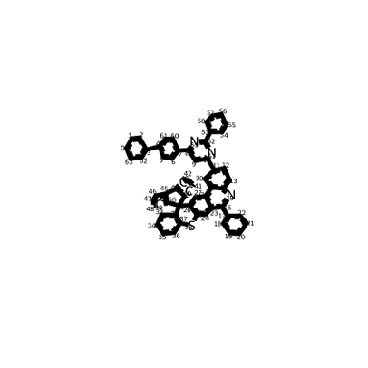 c1ccc(-c2ccc(-c3cc(-c4ccc5nc(-c6ccccc6)c6cc7c(cc6c5c4)C4(c5ccccc5S7)c5ccccc5-c5ccccc54)nc(-c4ccccc4)n3)cc2)cc1